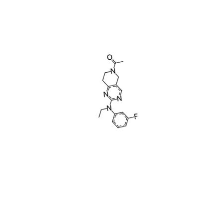 CCN(c1cccc(F)c1)c1ncc2c(n1)CCN(C(C)=O)C2